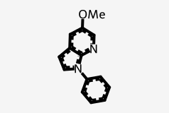 COc1cnc2c(ccn2-c2ccccc2)c1